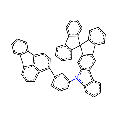 c1cc(-c2ccc3c4c(cccc24)-c2ccccc2-3)cc(-n2c3ccccc3c3cc4c(cc32)C2(c3ccccc3-c3ccccc32)c2ccccc2-4)c1